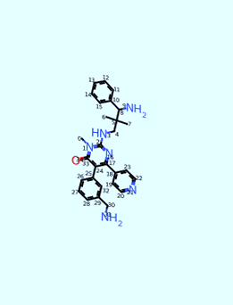 Cn1c(NCC(C)(C)C(N)c2ccccc2)nc(-c2ccncc2)c(-c2cccc(CN)c2)c1=O